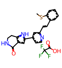 CSc1ccccc1C=Cc1cc(-c2cc3c([nH]2)CCNC3=O)ccn1.O=C(O)C(F)(F)F